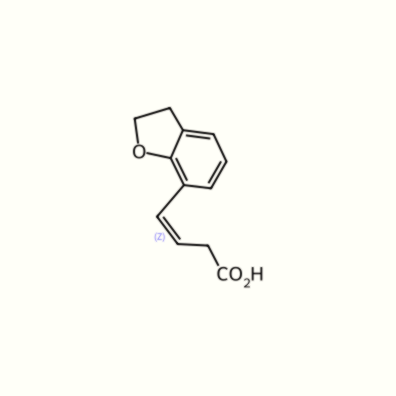 O=C(O)C/C=C\c1cccc2c1OCC2